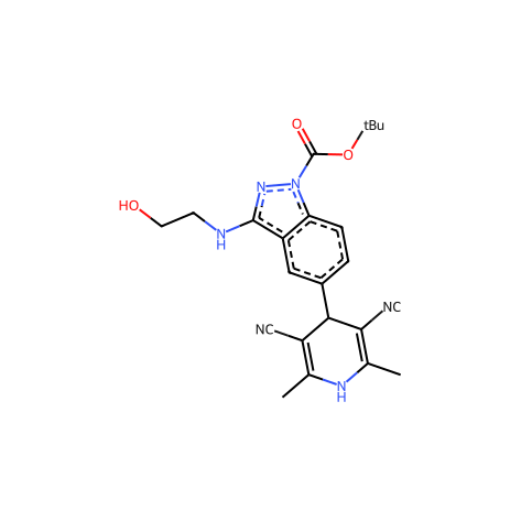 [C-]#[N+]C1=C(C)NC(C)=C(C#N)C1c1ccc2c(c1)c(NCCO)nn2C(=O)OC(C)(C)C